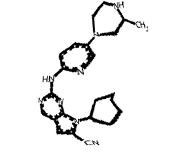 CC1CN(c2ccc(Nc3ncc4cc(C#N)n(C5CCCC5)c4n3)nc2)CCN1